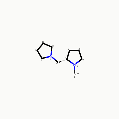 [CH2]CCN1CCC[C@H]1CN1CCCC1